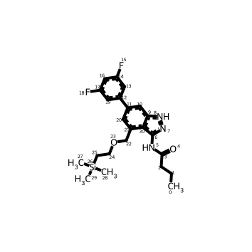 CCCC(=O)Nc1n[nH]c2cc(-c3cc(F)cc(F)c3)cc(COCC[Si](C)(C)C)c12